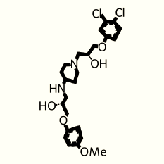 COc1ccc(OC[C@H](O)CNC2CCN(C[C@@H](O)COc3ccc(Cl)c(Cl)c3)CC2)cc1